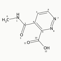 CNC(=O)c1ccnnc1C(=O)O